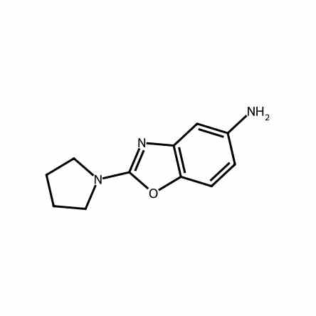 Nc1ccc2oc(N3CCCC3)nc2c1